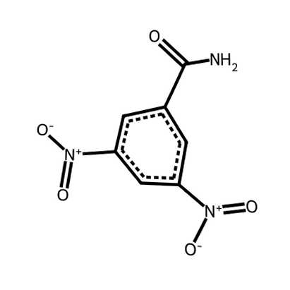 NC(=O)c1cc([N+](=O)[O-])cc([N+](=O)[O-])c1